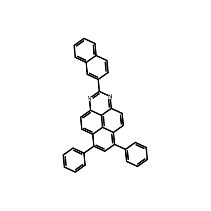 c1ccc(-c2cc(-c3ccccc3)c3ccc4nc(-c5ccc6ccccc6c5)nc5ccc2c3c54)cc1